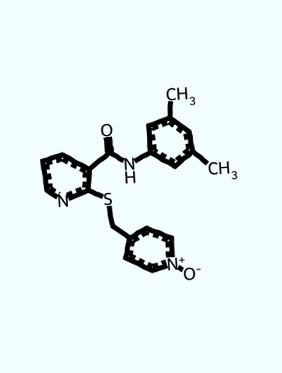 Cc1cc(C)cc(NC(=O)c2cccnc2SCc2cc[n+]([O-])cc2)c1